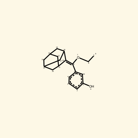 Oc1cccc(C(OCI)=C2C3CC4CC(C3)CC2C4)c1